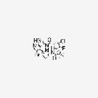 CC(C)(C)OC(=O)NC1CCCN(c2c(Br)cnc3[nH]cc(NC(=O)c4ccc(F)c(Cl)c4)c23)C1